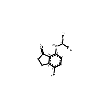 O=C1CCc2c(F)ccc(SC(F)F)c21